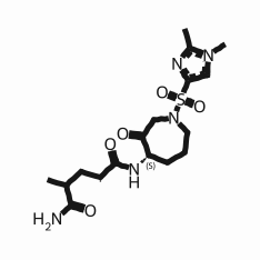 Cc1nc(S(=O)(=O)N2CCC[C@H](NC(=O)[CH]CC(C)C(N)=O)C(=O)C2)cn1C